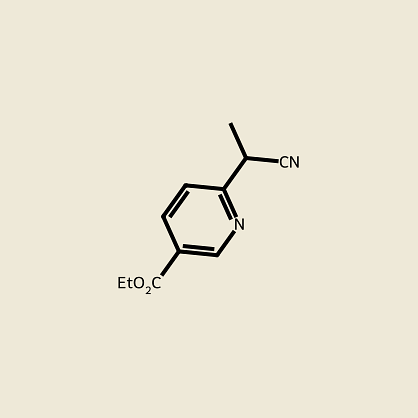 CCOC(=O)c1ccc(C(C)C#N)nc1